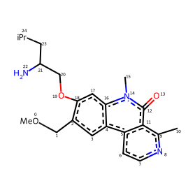 COCc1cc2c3ccnc(C)c3c(=O)n(C)c2cc1OCC(N)CC(C)C